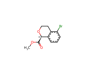 COC(=O)[C@H]1OCCc2c(Br)cccc21